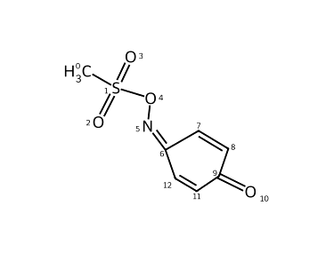 CS(=O)(=O)ON=C1C=CC(=O)C=C1